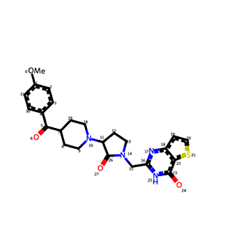 COc1ccc(C(=O)C2CCN(C3CCN(Cc4nc5ccsc5c(=O)[nH]4)C3=O)CC2)cc1